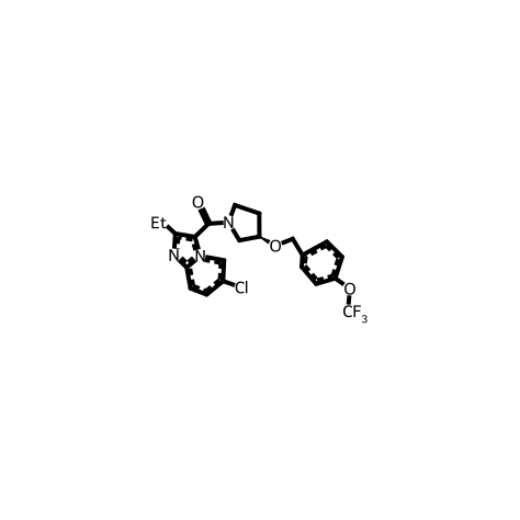 CCc1nc2ccc(Cl)cn2c1C(=O)N1CC[C@@H](OCc2ccc(OC(F)(F)F)cc2)C1